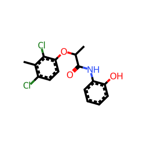 Cc1c(Cl)ccc(OC(C)C(=O)Nc2ccccc2O)c1Cl